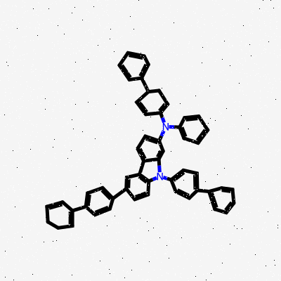 C1=CC(c2ccc(-c3ccc4c(c3)c3ccc(N(C5=CCC(c6ccccc6)C=C5)c5ccccc5)cc3n4-c3ccc(-c4ccccc4)cc3)cc2)=CCC1